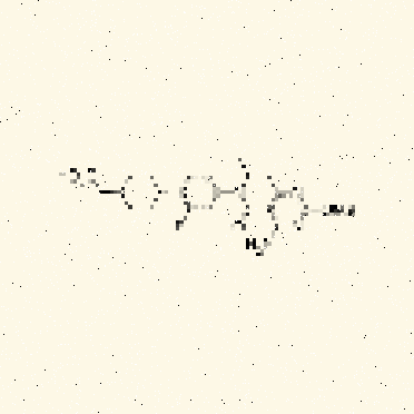 COc1nc(N)c2c(n1)CC(C)N(c1ccc([C@H]3CC[C@H](CC(=O)O)CC3)c(F)c1)C2=O